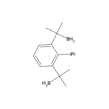 BC(C)(C)c1cccc(C(B)(C)C)c1C(C)C